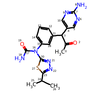 CC(=O)C(c1cnc(N)nc1)c1cccc(N(C(N)=O)c2nnc(C(C)C)s2)c1